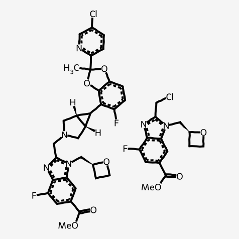 COC(=O)c1cc(F)c2nc(CCl)n(C[C@@H]3CCO3)c2c1.COC(=O)c1cc(F)c2nc(CN3C[C@@H]4C(c5c(F)ccc6c5OC(C)(c5ccc(Cl)cn5)O6)[C@@H]4C3)n(C[C@@H]3CCO3)c2c1